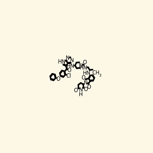 CCC(CNC(=O)N1CCC(Nc2ncnc3[nH]cc(C(=O)c4ccc(Oc5ccccc5)cc4Cl)c23)CC1)Nc1cccc2c1C(=O)N(C1CCC(=O)NC1=O)C2=O